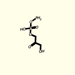 O=C(CO)COP(=O)(O)OP